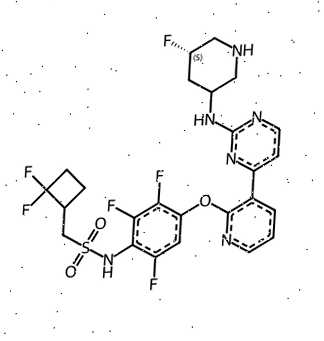 O=S(=O)(CC1CCC1(F)F)Nc1c(F)cc(Oc2ncccc2-c2ccnc(NC3CNC[C@@H](F)C3)n2)c(F)c1F